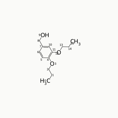 CCCOc1ccc(CO)cc1OCCC